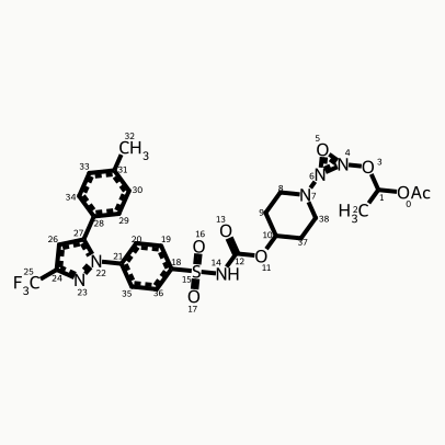 CC(=O)OC(C)On1on1N1CCC(OC(=O)NS(=O)(=O)c2ccc(-n3nc(C(F)(F)F)cc3-c3ccc(C)cc3)cc2)CC1